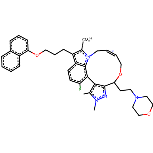 Cc1c2c(nn1C)C(CCN1CCOCC1)OC/C=C\Cn1c(C(=O)O)c(CCCOc3cccc4ccccc34)c3ccc(F)c-2c31